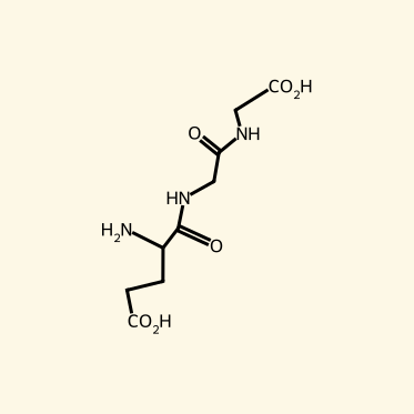 NC(CCC(=O)O)C(=O)NCC(=O)NCC(=O)O